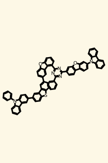 c1ccc(-c2nc(-c3ccc4c(c3)oc3cc(-n5c6ccccc6c6ccccc65)ccc34)nc(-c3cccc4oc5ccc(-c6ccc7sc8ccc(-c9ccc%10c(c9)c9ccccc9n%10-c9ccccc9)cc8c7c6)cc5c34)n2)cc1